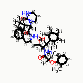 [2H]c1c([2H])c([2H])c(C([2H])([2H])[C@]([2H])(NC(=O)C([2H])([2H])Oc2c(C)cccc2C)[C@@H](O)C[C@H](Cc2ccccc2)NC(=O)[C@@]([2H])(N2CCCNC2=O)C([2H])(C([2H])([2H])[2H])C([2H])([2H])[2H])c([2H])c1[2H]